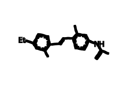 C=C(C)Nc1ccc(/C=C/c2ccc(CC)cc2C)c(C)c1